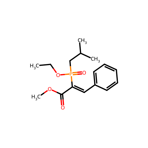 CCOP(=O)(CC(C)C)C(=Cc1ccccc1)C(=O)OC